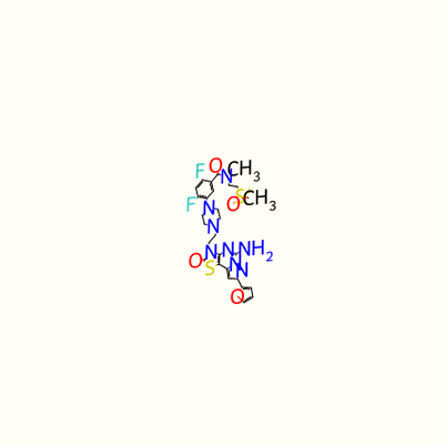 CN(CC[S+](C)[O-])C(=O)c1cc(N2CCN(CCn3c(=O)sc4c3nc(N)n3nc(-c5ccco5)cc43)CC2)c(F)cc1F